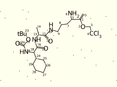 C=C(OCC(Cl)(Cl)Cl)C(N)CCCNC(=O)C(C)NC(=O)C(NC(=O)OC(C)(C)C)C1CCCCC1